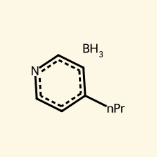 B.CCCc1ccncc1